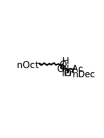 CCCCCCCCC=CCCCCCCCC(=O)OC(NC(=O)CC(CCCCCCCCCCC)C(C)=O)C(C)C